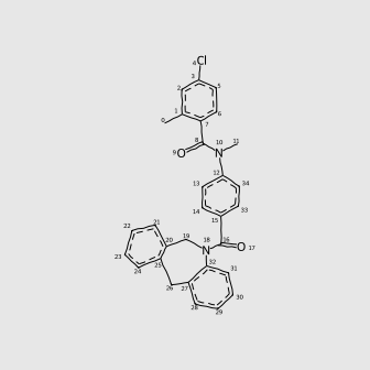 Cc1cc(Cl)ccc1C(=O)N(C)c1ccc(C(=O)N2Cc3ccccc3Cc3ccccc32)cc1